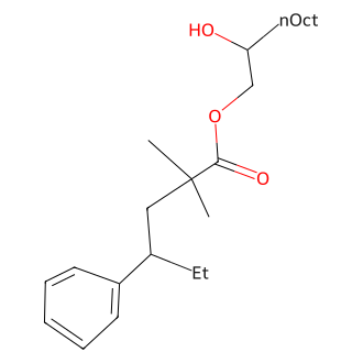 CCCCCCCCC(O)COC(=O)C(C)(C)CC(CC)c1ccccc1